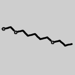 CCCOCCCCCOC[O]